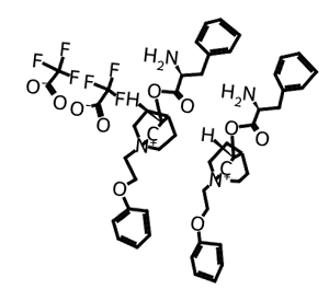 N[C@@H](Cc1ccccc1)C(=O)O[C@H]1C[N+]2(CCOc3ccccc3)CCC1CC2.N[C@@H](Cc1ccccc1)C(=O)O[C@H]1C[N+]2(CCOc3ccccc3)CCC1CC2.O=C([O-])C(F)(F)F.O=C([O-])C(F)(F)F